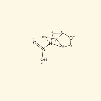 O=C(O)N1CC2OCC1C2F